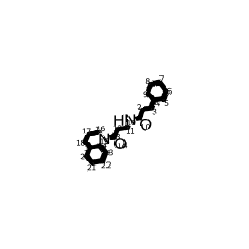 O=C(CCC1CCCCC1)NCCC(=O)N1CCCC2CCCCC21